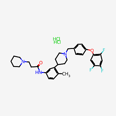 Cc1ccc(NC(=O)CCN2CCCCC2)cc1C1CCN(Cc2ccc(Oc3cc(F)c(F)cc3F)cc2)CC1.Cl.Cl